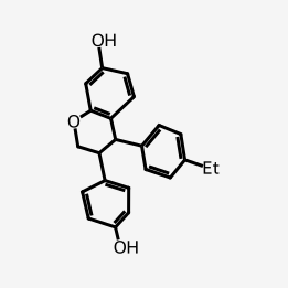 CCc1ccc(C2c3ccc(O)cc3OCC2c2ccc(O)cc2)cc1